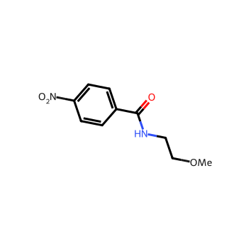 COCCNC(=O)c1ccc([N+](=O)[O-])cc1